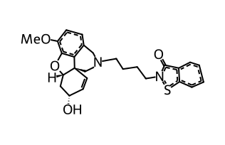 COc1ccc2c3c1O[C@H]1C[C@@H](O)C=C[C@@]31CCN(CCCCn1sc3ccccc3c1=O)C2